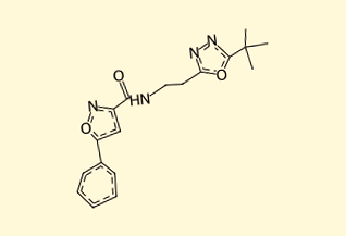 CC(C)(C)c1nnc(CCNC(=O)c2cc(-c3ccccc3)on2)o1